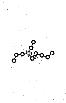 c1ccc(-c2ccc(-c3nc(-c4ccc(-c5cccc(-c6ccccc6)c5)cc4)nc(-c4cccc5oc6c(-c7ccc(-c8cccc(-c9ccccc9)c8)cc7)cccc6c45)n3)cc2)cc1